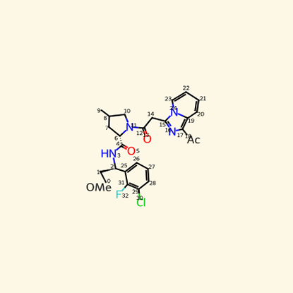 COC[C@@H](NC(=O)[C@@H]1CC(C)CN1C(=O)Cc1nc(C(C)=O)c2ccccn12)c1cccc(Cl)c1F